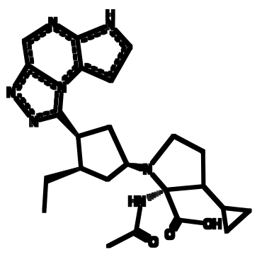 CC[C@@H]1C[C@H](N2CCC(C3CC3)[C@@]2(NC(C)=O)C(=O)O)C[C@@H]1c1nnc2cnc3[nH]ccc3n12